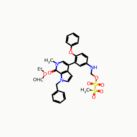 CCOC=O.Cn1cc(-c2cc(NCOS(=O)(=O)S(C)(=O)=O)ccc2Oc2ccccc2)c2ccn(Cc3ccccc3)c2c1=O